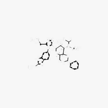 Cc1nc2ccc(-n3c(C(N)=O)nnc3[C@@H]3O[C@@H]4CO[C@H](c5ccccc5)O[C@@H]4[C@H](N(N=N)C(C)F)[C@H]3O)cc2s1